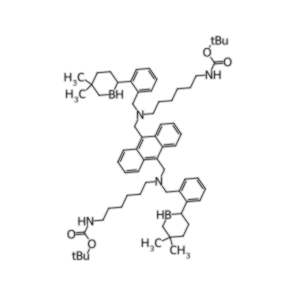 CC1(C)CBC(c2ccccc2CN(CCCCCCNC(=O)OC(C)(C)C)Cc2c3ccccc3c(CN(CCCCCCNC(=O)OC(C)(C)C)Cc3ccccc3C3BCC(C)(C)CC3)c3ccccc23)CC1